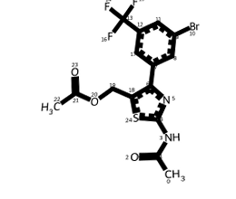 CC(=O)Nc1nc(-c2cc(Br)cc(C(F)(F)F)c2)c(COC(C)=O)s1